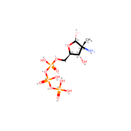 B[C@@H]1O[C@H](COP(=O)(O)OP(=O)(O)OP(=O)(O)O)[C@@H](O)[C@@]1(C)N